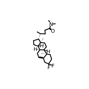 CC(CCC(=O)N(C)C)[C@H]1CC[C@H]2[C@@H]3CC=C4CC(F)(F)CC[C@]4(C)[C@H]3CC[C@]12C